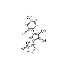 O=S1(=O)CCCN1c1oc(-c2ccc(Cl)cc2F)c(O)c1O